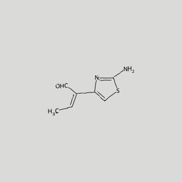 CC=C(C=O)c1csc(N)n1